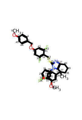 COc1ccc(COc2cc(F)c(CSc3nc4c(n3-c3ccc(F)cc3)C(C)(c3ccc(F)c(OC)c3)CCC4)c(F)c2)cc1